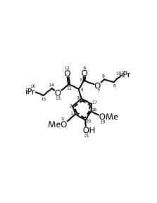 COc1cc(C(C(=O)OCCC(C)C)C(=O)OCCC(C)C)cc(OC)c1O